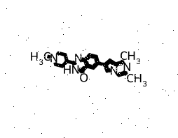 Cc1cn2cc(-c3ccc4nc(C5CCN(C)CC5)[nH]c(=O)c4c3)cc2c(C)n1